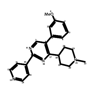 COc1cccc(-c2cnc(-c3ccncc3)nc2C2CCN(C)CC2)c1